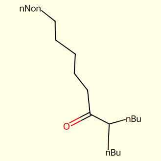 CCCCCCCCCCCCCCC(=O)C(CCCC)CCCC